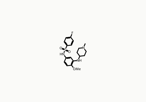 COc1ccc(NS(=O)(=O)c2ccc(F)cc2)cc1NC1CCN(C)CC1